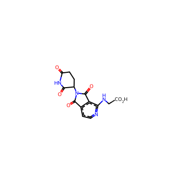 O=C(O)CNc1nccc2c1C(=O)N(C1CCC(=O)NC1=O)C2=O